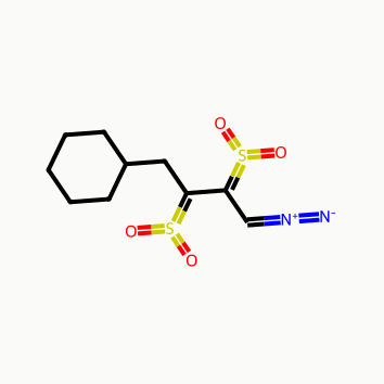 [N-]=[N+]=CC(C(CC1CCCCC1)=S(=O)=O)=S(=O)=O